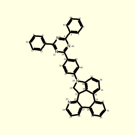 c1ccc(-c2nc(-c3ccccc3)nc(-c3ccc(N4CC5c6ncccc6-c6ccccc6-c6cccc4c65)cc3)n2)cc1